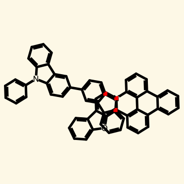 c1ccc(-n2c3ccccc3c3cc(-c4ccc5c(c4)c4ccccc4n5-c4cccc5c6ccccc6c6cccc(-c7cccc8c7oc7ccccc78)c6c45)ccc32)cc1